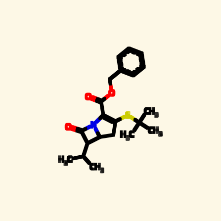 CC(C)C1C(=O)N2C(C(=O)OCc3ccccc3)=C(SC(C)(C)C)CC12